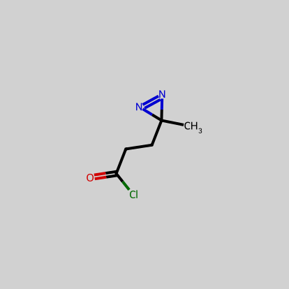 CC1(CCC(=O)Cl)N=N1